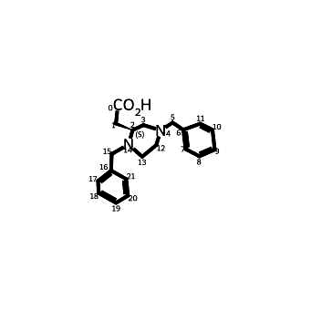 O=C(O)C[C@H]1CN(Cc2ccccc2)CCN1Cc1ccccc1